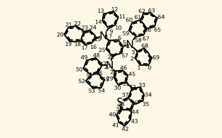 c1ccc(N(c2cc(N(c3ccccc3)c3ccc4ccccc4c3)cc(N(c3ccc(-c4cccc5c4sc4ccccc45)cc3)c3cccc4ccccc34)c2)c2ccc3ccccc3c2)cc1